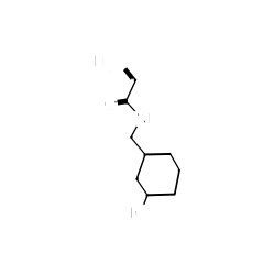 C=CC(=O)NCC1CCCC(O)C1